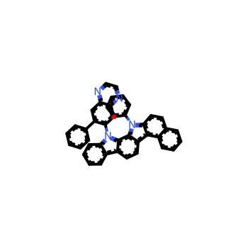 c1ccc(-c2cc3nccnc3cc2-n2c3ccccc3c3ccc4c5c6ccccc6ccc5n(-c5ccccc5)c4c32)cc1